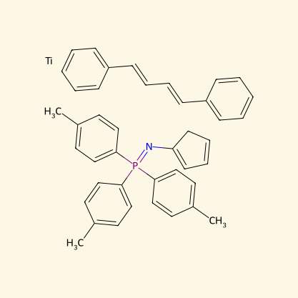 C(C=Cc1ccccc1)=Cc1ccccc1.Cc1ccc(P(=NC2=CC=CC2)(c2ccc(C)cc2)c2ccc(C)cc2)cc1.[Ti]